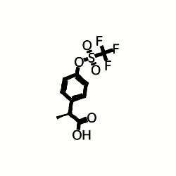 C[C@H](C(=O)O)c1ccc(OS(=O)(=O)C(F)(F)F)cc1